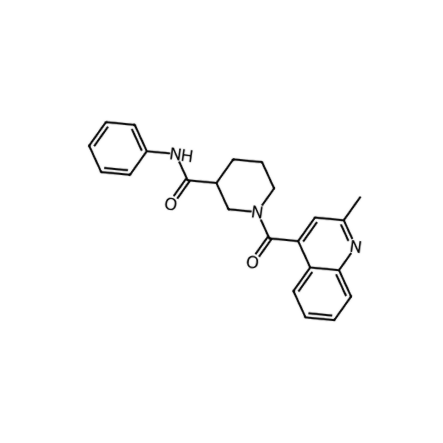 Cc1cc(C(=O)N2CCCC(C(=O)Nc3ccccc3)C2)c2ccccc2n1